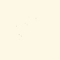 CCCCCCN1CCCN(C)CC1